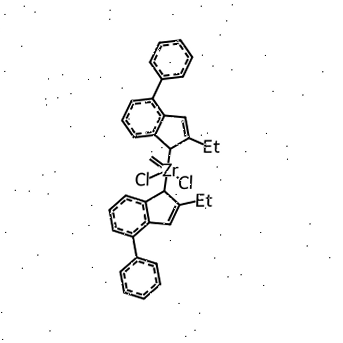 [CH2]=[Zr]([Cl])([Cl])([CH]1C(CC)=Cc2c(-c3ccccc3)cccc21)[CH]1C(CC)=Cc2c(-c3ccccc3)cccc21